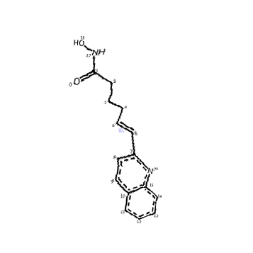 O=C(CCC/C=C/c1ccc2ccccc2n1)NO